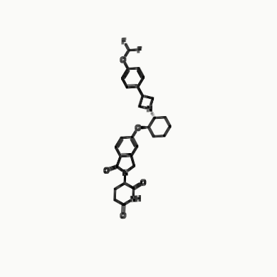 O=C1CCC(N2Cc3cc(O[C@@H]4CCCC[C@H]4N4CC(c5ccc(OC(F)F)cc5)C4)ccc3C2=O)C(=O)N1